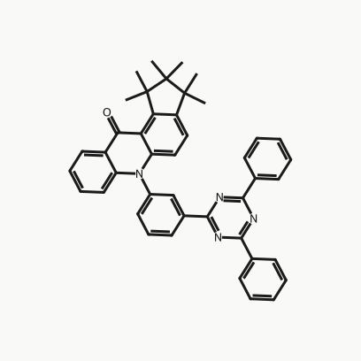 CC1(C)c2ccc3c(c2C(C)(C)C1(C)C)c(=O)c1ccccc1n3-c1cccc(-c2nc(-c3ccccc3)nc(-c3ccccc3)n2)c1